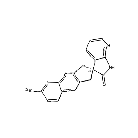 O=Cc1ccc2cc3c(cc2n1)C[C@@]1(C3)C(=O)Nc2ncccc21